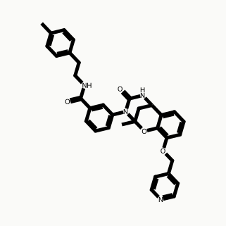 Cc1ccc(CCNC(=O)c2cccc(N3C(=O)NC4CC3(C)Oc3c(OCc5ccncc5)cccc34)c2)cc1